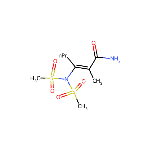 CCC/C(=C(/C)C(N)=O)N(S(C)(=O)=O)S(C)(=O)=O